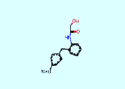 COc1ccc(Cc2ccccc2NC(=O)CO)cc1